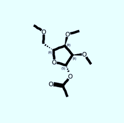 COC[C@H]1O[C@@H](OC(C)=O)[C@H](OC)[C@@H]1OC